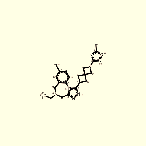 Cc1nc(N2CC3(CC(c4nnc5n4-c4ccc(Cl)cc4CN(CC(F)(F)F)C5)C3)C2)no1